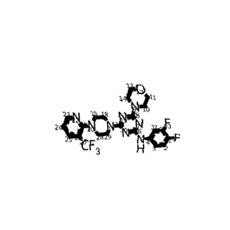 Fc1ccc(Nc2nc(N3CCOCC3)nc(N3CCN(c4ncccc4C(F)(F)F)CC3)n2)cc1F